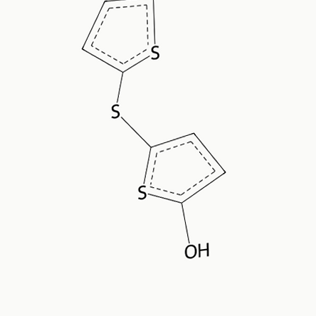 Oc1ccc(Sc2cccs2)s1